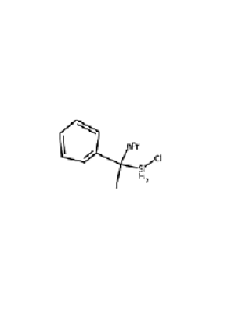 [CH2]CCC(C)([SiH2]Cl)c1ccccc1